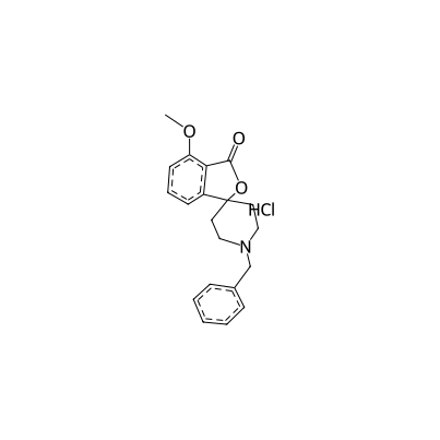 COc1cccc2c1C(=O)OC21CCN(Cc2ccccc2)CC1.Cl